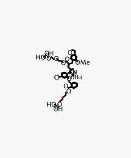 CCCCn1ncc(/C=C(\Cc2cc3c(cc2OC)CCO3)C(=O)OCCOCCON(O)O)c1-c1ccc(Cl)cc1OCc1ccccc1C(=O)OCCCCCON(O)O